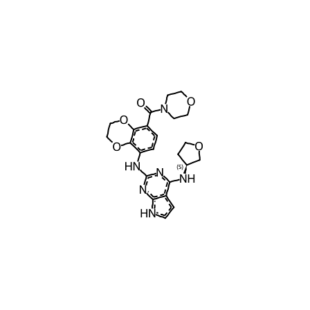 O=C(c1ccc(Nc2nc(N[C@H]3CCOC3)c3cc[nH]c3n2)c2c1OCCO2)N1CCOCC1